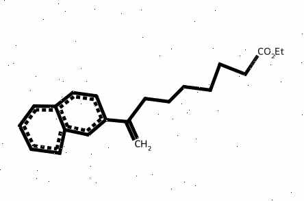 C=C(CCCCCCC(=O)OCC)c1ccc2ccccc2c1